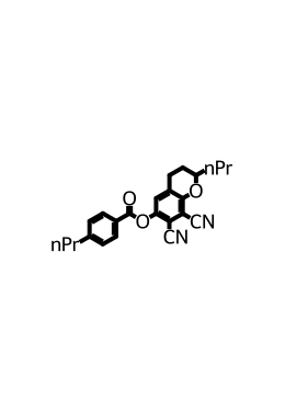 CCCc1ccc(C(=O)Oc2cc3c(c(C#N)c2C#N)OC(CCC)CC3)cc1